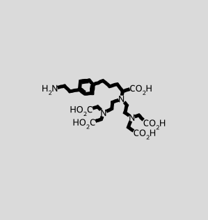 NCCc1ccc(CCCC(C(=O)O)N(CCN(CC(=O)O)CC(=O)O)CCN(CC(=O)O)CC(=O)O)cc1